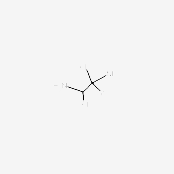 CC(N)C(N)(Cl)Cl